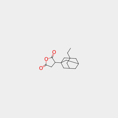 CCC12CC3CC(C1)CC(C1CC(=O)OC1=O)(C3)C2